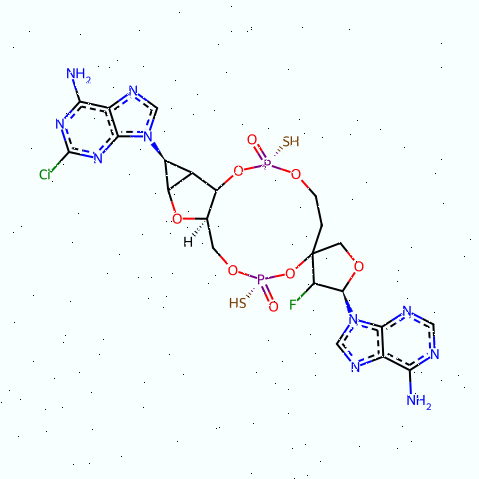 Nc1nc(Cl)nc2c1ncn2[C@@H]1C2O[C@@H]3CO[P@@](=O)(S)OC4(CCO[P@@](=O)(S)OC3C21)CO[C@@H](n1cnc2c(N)ncnc21)C4F